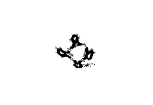 CCCCCC[NH][Cu][c]1cccc2c3nc4nc(nc5[nH]c(nc6nc(nc([nH]3)c12)-c1ccccc1-6)c1ccccc51)-c1ccccc1-4